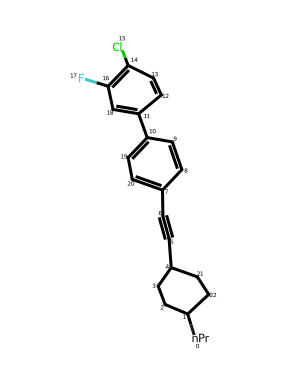 CCCC1CCC(C#Cc2ccc(-c3ccc(Cl)c(F)c3)cc2)CC1